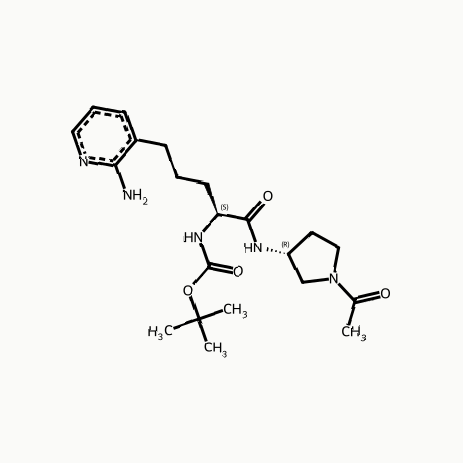 CC(=O)N1CC[C@@H](NC(=O)[C@H](CCCc2cccnc2N)NC(=O)OC(C)(C)C)C1